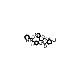 O=C(Nc1ccc(CN2C(=O)c3ccc(Cl)cc3NC(=O)C2Cc2cccnc2)cc1)c1ccccn1